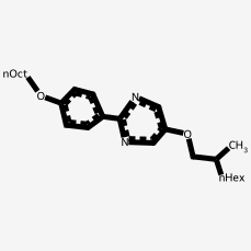 CCCCCCCCOc1ccc(-c2ncc(OCC(C)CCCCCC)cn2)cc1